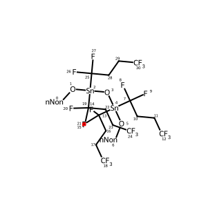 CCCCCCCCC[O][Sn]([O][Sn]([O]CCCCCCCCC)([C](F)(F)CCC(F)(F)F)[C](F)(F)CCC(F)(F)F)([C](F)(F)CCC(F)(F)F)[C](F)(F)CCC(F)(F)F